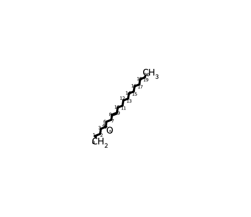 C=CCCC(=O)CCC=CCCCCCCCCCCC